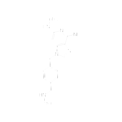 CCCCNc1cc2c(ncn2Cc2ccc(CNC(C)(C)C)cc2)c(N)n1